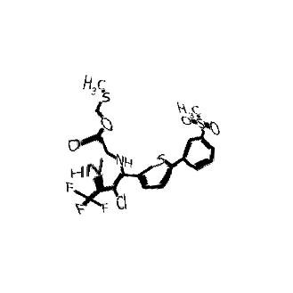 CSCOC(=O)CN/C(=C(/Cl)C(=N)C(F)(F)F)c1ccc(-c2cccc(S(C)(=O)=O)c2)s1